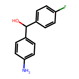 Nc1ccc(C(O)c2ccc(F)cc2)cc1